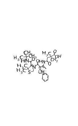 CC(C)(C)NC(=O)[C@H]1N(C(=O)[C@@H](O)[C@H](Cc2ccccc2)NC(=O)CC(C)(C)C(=O)O)CSC1(C)C